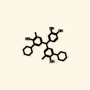 Cc1cc(C(c2ccc(O)c(O)c2)c2cc(C)c(O)c(C3CCCCC3)c2)cc(C2CCCCC2)c1O